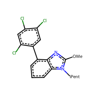 CCCC(C)n1c(OC)nc2c(-c3cc(Cl)c(Cl)cc3Cl)cccc21